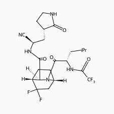 CC(C)C[C@H](NC(=O)C(F)(F)F)C(=O)N1[C@@H]2CC[C@H]([C@H]1C(=O)N[C@@H](C#N)C[C@@H]1CCNC1=O)C(F)(F)C2